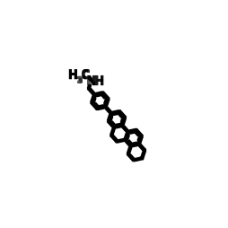 CNCc1ccc(-c2ccc3c(c2)CCc2c-3ccc3c2CCCC3)cc1